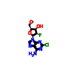 Nc1nc(Cl)nc2c1ncn2[C@@H]1O[C@H](C[O])[C@@H](O)[C@@H]1F